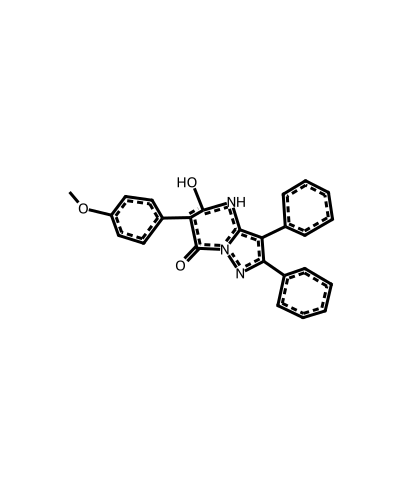 COc1ccc(-c2c(O)[nH]c3c(-c4ccccc4)c(-c4ccccc4)nn3c2=O)cc1